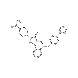 CC(=O)N1CCC(n2nc3c4ccccc4n(Cc4ccc(-n5cccn5)cc4)cc-3c2=O)CC1